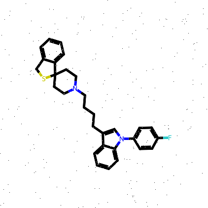 Fc1ccc(-n2cc(CCCCN3CCC4(CC3)SCc3ccccc34)c3ccccc32)cc1